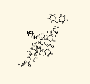 CNC(C)C(=O)N[C@H]1CN(C(=O)c2ccc(NC(=O)OCC3c4ccccc4-c4ccccc43)cc2)c2ccccc2N(Cc2c(OC)ccc3cc(C(=O)OC)ccc23)C1=O.Cl